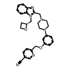 N#Cc1ccc(COc2cccc(N3CCN(Cc4nc5ccccc5n4C[C@@H]4CCO4)CC3)c2)nc1